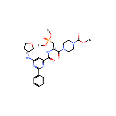 CCCCOC(=O)N1CCN(C(=O)[C@H](CP(=O)(OCC)OCC)NC(=O)c2cc(N[C@@H]3CCOC3)nc(-c3ccccc3)n2)CC1